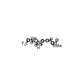 COc1ccc(C(=O)N2CC=C(c3cccc(C4(c5nc6c(c(=O)[nH]5)CN(C(=O)C(O)c5cccc(C(F)(F)F)c5)CCC6)CC4)c3)CC2)cc1OC1CCCC1